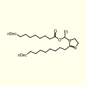 CCCCCCCCCCCCCCCCCCC1=NCCN1C(CC)OC(=O)CCCCCCCCCCCCCCCCC